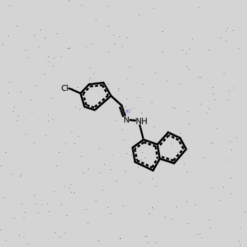 Clc1ccc(/C=N/Nc2cccc3ccccc23)cc1